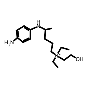 CC[N+](CC)(CCO)CCCC(C)Nc1ccc(N)cc1